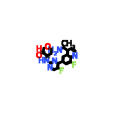 CC(N)c1ccnc2c(F)cc(-c3nc(N[C@@H]4CCOC[C@H]4O)ncc3F)cc12